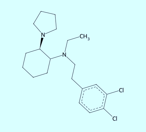 CCN(CCc1ccc(Cl)c(Cl)c1)C1CCCC[C@H]1N1CCCC1